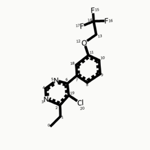 CCc1ncnc(-c2cccc(OCC(F)(F)F)c2)c1Cl